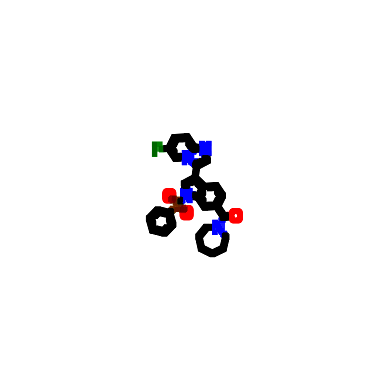 O=C(c1ccc2c(-c3cnc4ccc(F)cn34)cn(S(=O)(=O)c3ccccc3)c2c1)N1CCCCCC1